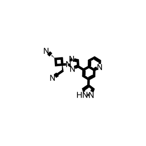 N#CC[C@]1(n2ncc(-c3cc(-c4cn[nH]c4)cc4ncccc34)n2)C[C@@H](C#N)C1